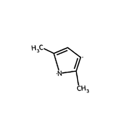 CC1=[C]C=C(C)[N]1